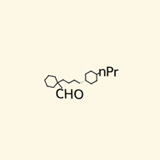 CCC[C@H]1CC[C@H](CCCCC2(CC=O)CCCCC2)CC1